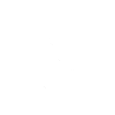 CC(C)(C)OC(=O)n1cc(CN2C(=O)c3ccccc3C2=O)c2ccc(-c3ccncc3)cc21